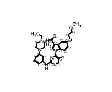 CCN1CCN(c2cccc(Nc3ncc(F)c(-n4cc(C(N)=O)c5cc(OCCOC)ccc54)n3)c2)CC1